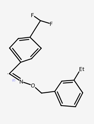 CCc1cccc(CO/N=[C]\c2ccc(C(F)F)cc2)c1